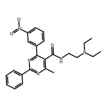 CCN(CC)CCNC(=O)c1c(C)nc(-c2ccccc2)nc1-c1cccc([N+](=O)[O-])c1